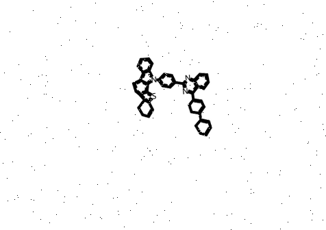 C1=CCCC(C2=CC=C(c3nc(-c4ccc(-n5c6ccccc6c6ccc7c8c(sc7c65)C=CCC8)cc4)nc4ccccc34)CC2)=C1